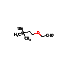 CC(C)(C)[Si](C)(C)CCOCC=O